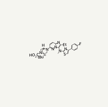 CCc1nc2ccc(N3C[C@]4(C(C)(C)C)C[C@H]3CN4C(=O)O)nn2c1N(C)c1nc(-c2ccc(F)cc2)cs1